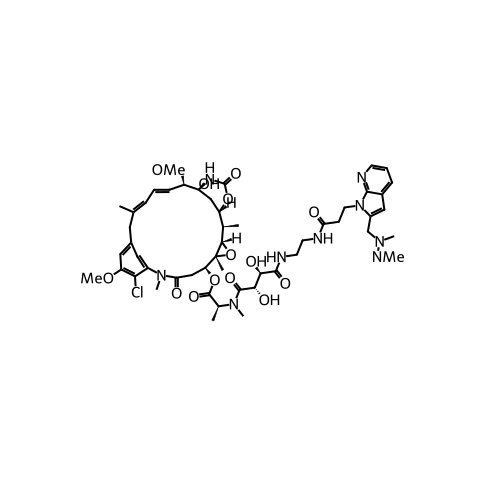 CNN(C)Cc1cc2cccnc2n1CCC(=O)NCCNC(=O)[C@H](O)[C@H](O)C(=O)N(C)[C@@H](C)C(=O)O[C@H]1CC(=O)N(C)c2cc(cc(OC)c2Cl)C/C(C)=C/C=C/[C@@H](OC)[C@@]2(O)C[C@H](OC(=O)N2)[C@@H](C)[C@@H]2O[C@]12C